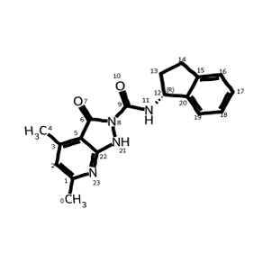 Cc1cc(C)c2c(=O)n(C(=O)N[C@@H]3CCc4ccccc43)[nH]c2n1